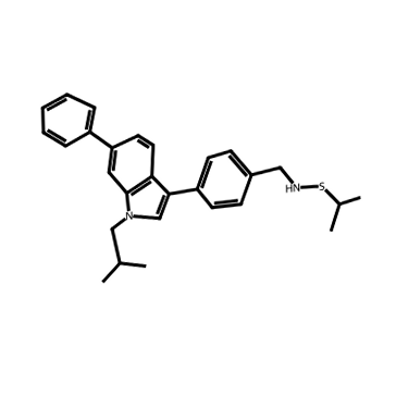 CC(C)Cn1cc(-c2ccc(CNSC(C)C)cc2)c2ccc(-c3ccccc3)cc21